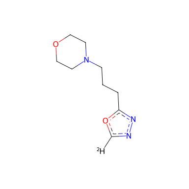 [2H]c1nnc(CCCN2CCOCC2)o1